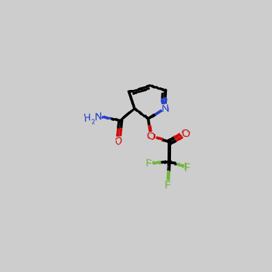 NC(=O)C1C=CC=NC1OC(=O)C(F)(F)F